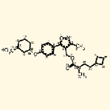 Cc1noc(-c2ccc(O[C@H]3CCC[C@H](C(=O)O)C3)cc2)c1COC(=O)N(C)CCC1CCC1